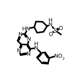 CS(=O)(=O)NC1CCC(Nc2ncc3ncnc(Nc4cccc([N+](=O)[O-])c4)c3n2)CC1